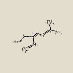 C=N/C(=C\N=C(C)C)CNC